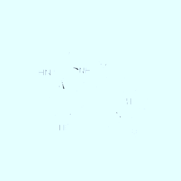 CC[C@@H]1CC[C@@H](NCc2cc3c(cc2OC)C2C[C@H]2C(=O)N3C)[C@@H](c2ccccc2)N1.Cl